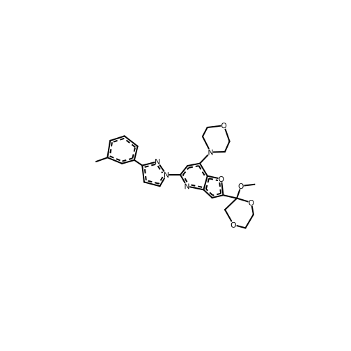 COC1(c2cc3nc(-n4ccc(-c5cccc(C)c5)n4)cc(N4CCOCC4)c3o2)COCCO1